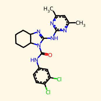 Cc1cc(C)nc(NC2=NC3CCCCC3N2C(=O)Nc2ccc(Cl)c(Cl)c2)n1